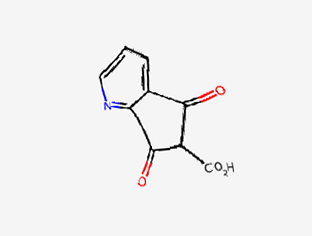 O=C(O)C1C(=O)c2cccnc2C1=O